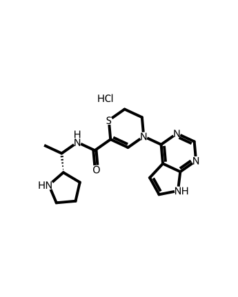 CC(NC(=O)C1=CN(c2ncnc3[nH]ccc23)CCS1)[C@@H]1CCCN1.Cl